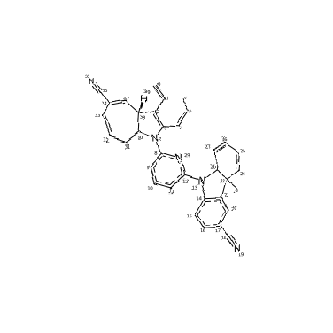 C=CC1=C(/C=C\C)N(c2cccc(N3c4ccc(C#N)cc4C4(C)C=CC=CC34)n2)C2CC=CC(C#N)=C[C@H]12